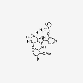 COc1c(F)cccc1Nc1c(-c2ccncc2OC[C@]2(C)CCO2)[nH]c2c1C(=O)N[C@H]1C[C@@H]21